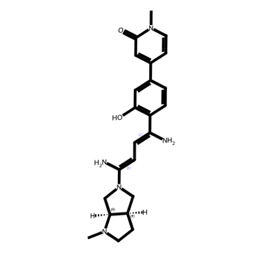 CN1CC[C@@H]2CN(/C(N)=C/C=C(\N)c3ccc(-c4ccn(C)c(=O)c4)cc3O)C[C@@H]21